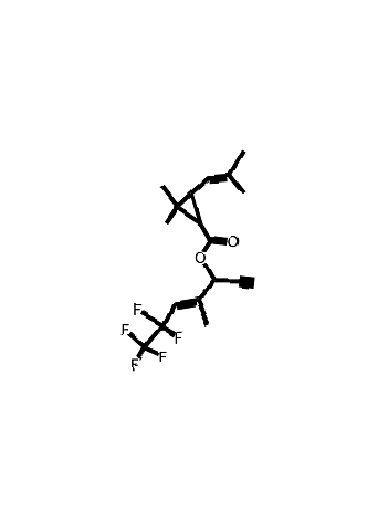 C#CC(OC(=O)C1C(C=C(C)C)C1(C)C)C(C)=CC(F)(F)C(F)(F)F